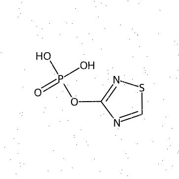 O=P(O)(O)Oc1ncsn1